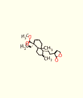 C=C[C@]1(C(=O)OC)CCC[C@@]2(C)C1CCC(=C)[C@@H]2CCC1=CCOC1=O